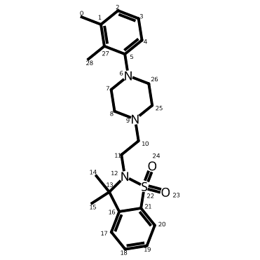 Cc1cccc(N2CCN(CCN3C(C)(C)c4ccccc4S3(=O)=O)CC2)c1C